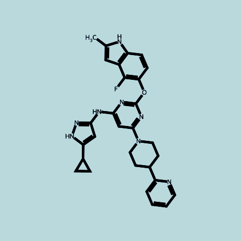 Cc1cc2c(F)c(Oc3nc(Nc4cc(C5CC5)[nH]n4)cc(N4CCC(c5ccccn5)CC4)n3)ccc2[nH]1